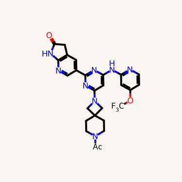 CC(=O)N1CCC2(CC1)CN(c1cc(Nc3cc(OC(F)(F)F)ccn3)nc(-c3cnc4c(c3)CC(=O)N4)n1)C2